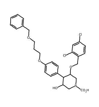 O=C(O)N1CC(O)C(c2ccc(OCCCOCc3ccccc3)cc2)C(OCc2ccc(Cl)cc2Cl)C1